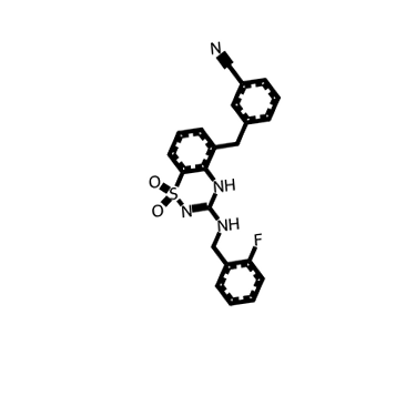 N#Cc1cccc(Cc2cccc3c2NC(NCc2ccccc2F)=NS3(=O)=O)c1